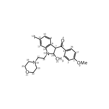 COc1ccc(C(=O)C2c3ccc(I)cc3N(CCN3CCOCC3)C2C)cc1